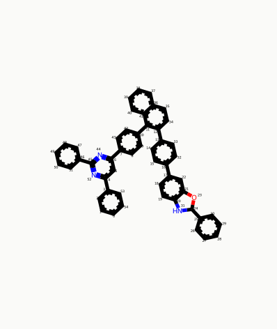 c1ccc(-c2cc(-c3ccc(-c4c(-c5ccc(-c6ccc7c(c6)OC(c6ccccc6)N7)cc5)ccc5ccccc45)cc3)nc(-c3ccccc3)n2)cc1